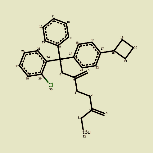 C=C(CCC(=C)CC(c1ccccc1)(c1ccc(C2CCC2)cc1)c1ccccc1Cl)CC(C)(C)C